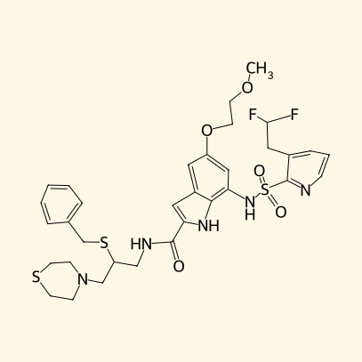 COCCOc1cc(NS(=O)(=O)c2ncccc2CC(F)F)c2[nH]c(C(=O)NCC(CN3CCSCC3)SCc3ccccc3)cc2c1